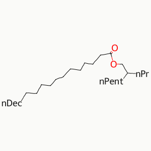 CCCCCCCCCCCCCCCCCCCCCC(=O)OCC(CCC)CCCCC